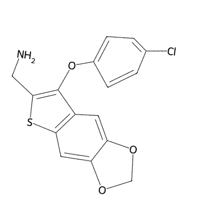 NCc1sc2cc3c(cc2c1Oc1ccc(Cl)cc1)OCO3